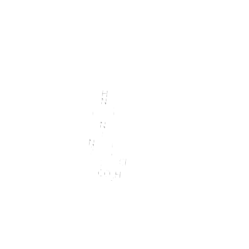 O=C(O)c1cnc(N2CCNCC2)cc1Cl